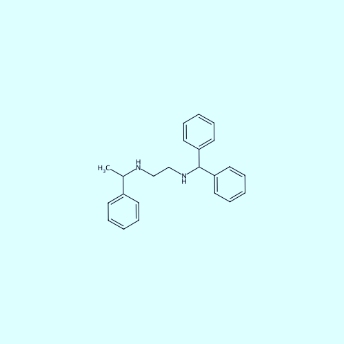 CC(NCCNC(c1ccccc1)c1ccccc1)c1ccccc1